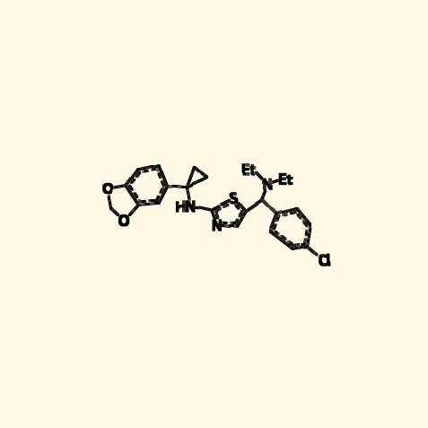 CCN(CC)C(c1ccc(Cl)cc1)c1cnc(NC2(c3ccc4c(c3)OCO4)CC2)s1